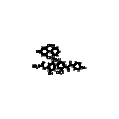 C=C(O[C@@H]1C=C(C(=O)O)C=C[C@H]1O)C(=O)O.O=C(O)c1cc(=O)cc(C(=O)O)n1-c1ccccc1.O=C(O)c1ccccc1C(=O)Nc1ccc(I)cc1